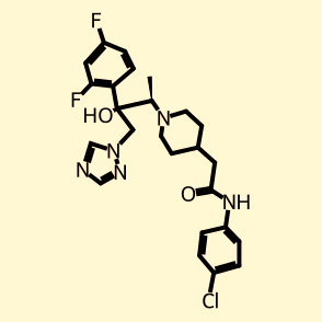 C[C@@H](N1CCC(CC(=O)Nc2ccc(Cl)cc2)CC1)[C@](O)(Cn1cncn1)c1ccc(F)cc1F